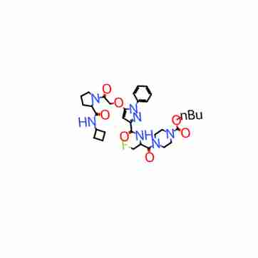 CCCCOC(=O)N1CCN(C(=O)C(CF)NC(=O)c2cc(OCC(=O)N3CCCC3C(=O)NC3CCC3)n(-c3ccccc3)n2)CC1